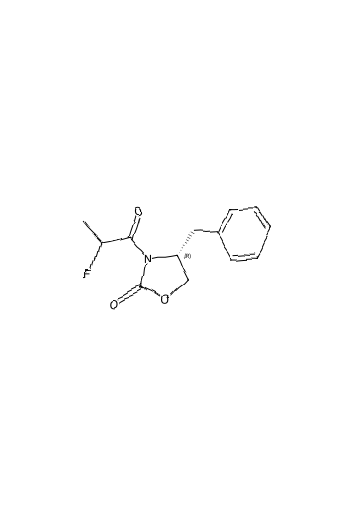 CC(F)C(=O)N1C(=O)OC[C@H]1Cc1ccccc1